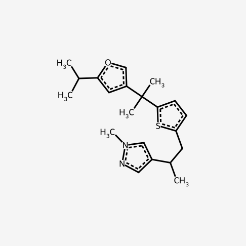 CC(C)c1cc(C(C)(C)c2ccc(CC(C)c3cnn(C)c3)s2)co1